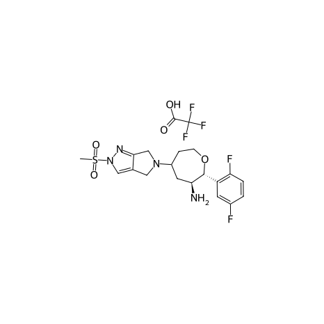 CS(=O)(=O)n1cc2c(n1)CN(C1CCO[C@H](c3cc(F)ccc3F)[C@@H](N)C1)C2.O=C(O)C(F)(F)F